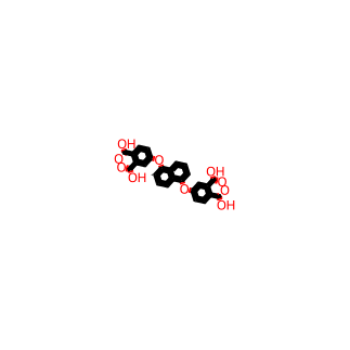 O=C(O)c1ccc(Oc2[c]ccc3c(Oc4ccc(C(=O)O)c(C(=O)O)c4)cccc23)cc1C(=O)O